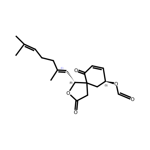 CC(C)=CCC/C(C)=C/[C@H]1OC(=O)CC12C[C@H](OC=O)C=CC2=O